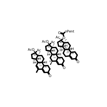 CC(=O)O[C@]1(C(C)=O)CC[C@H]2[C@@H]3C=C(C)C4=CC(=O)CC[C@]4(C)[C@H]3CC[C@@]21C.CC(=O)O[C@]1(C(C)=O)CC[C@H]2[C@@H]3C[C@H](C)C4=CC(=O)CC[C@]4(C)[C@H]3CC[C@@]21C.CCCCCC(=O)O[C@]1(C(C)=O)CC[C@H]2[C@@H]3CCC4=CC(=O)CC[C@]4(C)[C@H]3CC[C@@]21C